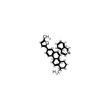 Cc1ccc(-c2ccc3c(ccc4c5c(ccc43)C(C)CCC5)c2)o1.c1ccc2cnccc2c1